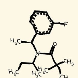 CCC(C)N(C(=O)C(C)(C)C)[C@@H](C)c1cccc(F)c1